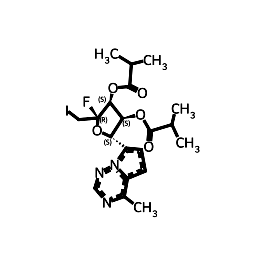 Cc1ncnn2c([C@@H]3O[C@](F)(CI)[C@@H](OC(=O)C(C)C)[C@H]3OC(=O)C(C)C)ccc12